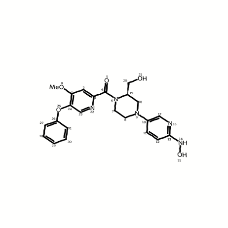 COc1cc(C(=O)N2CCN(c3ccc(NO)nc3)C[C@@H]2CO)ncc1Oc1ccccc1